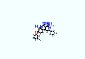 Cc1cccc(Oc2ccc(-c3cc(C4CCCC4)nc(N)c3C(N)N)cc2)c1